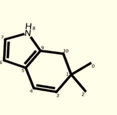 CC1(C)C=Cc2cc[nH]c2C1